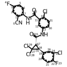 N#Cc1cc(F)ccc1NC(=O)c1cc(NC(=O)[C@@H]2[C@@H](c3ccc(F)c(Cl)c3)C2(Cl)Cl)ccc1Cl